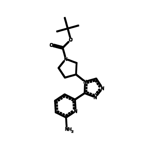 CC(C)(C)OC(=O)N1CCC(n2cnnc2-c2cccc(N)n2)C1